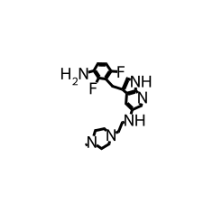 CN1CCN(CCNc2cnc3[nH]cc(Cc4c(F)ccc(N)c4F)c3c2)CC1